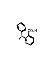 CN(c1ccccc1)c1ncccc1C(=O)O